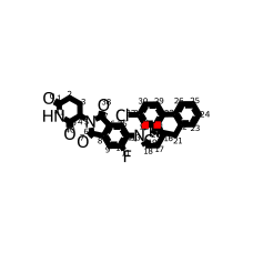 O=C1CCC(N2C(=O)c3cc(F)c(N4CC5CCC4CN5Cc4ccccc4-c4ccc(Cl)cc4)cc3C2=O)C(=O)N1